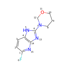 Fc1ccc2[nH]c(N3CCCOC3)nc2n1